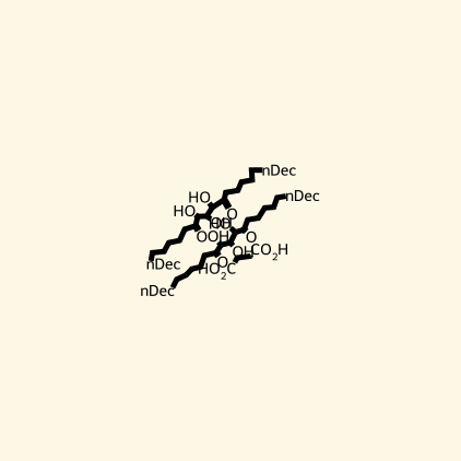 CCCCCCCCCCCCCCCC(=O)C(O)C(O)C(O)C(=O)CCCCCCCCCCCCCCC.CCCCCCCCCCCCCCCC(=O)C(O)C(O)C(O)C(=O)CCCCCCCCCCCCCCC.O=C(O)CCC(=O)O